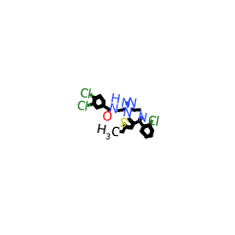 CCc1cc2c(s1)-n1c(nnc1CNC(=O)c1ccc(Cl)c(Cl)c1)CN=C2c1ccccc1Cl